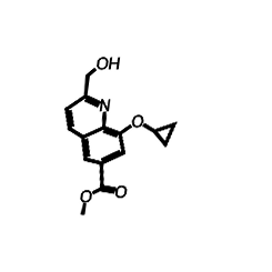 COC(=O)c1cc(OC2CC2)c2nc(CO)ccc2c1